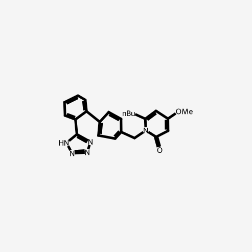 CCCCc1cc(OC)cc(=O)n1Cc1ccc(-c2ccccc2-c2nnn[nH]2)cc1